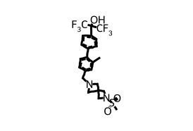 Cc1cc(CN2CC3(C2)CN(S(C)(=O)=O)C3)ccc1-c1ccc(C(O)(C(F)(F)F)C(F)(F)F)cc1